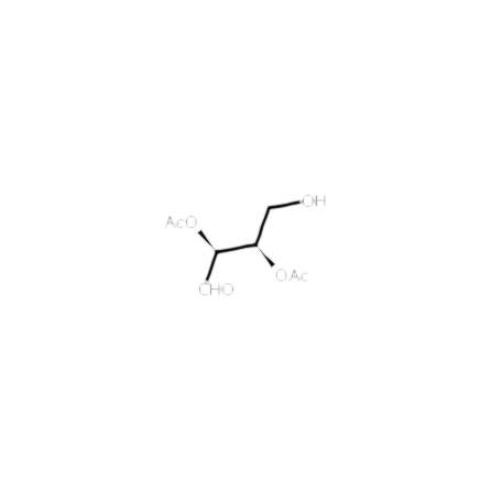 CC(=O)O[C@H](C=O)[C@@H](CO)OC(C)=O